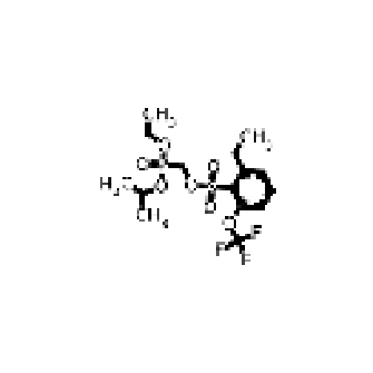 CCOP(=O)(COS(=O)(=O)c1c(CC)cccc1OC(F)(F)F)OC(C)C